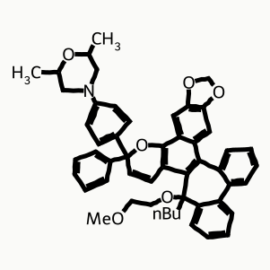 CCCCC1(OCCOC)c2ccccc2-c2ccccc2-c2c1c1c(c3cc4c(cc23)OCO4)OC(c2ccccc2)(c2ccc(N3CC(C)OC(C)C3)cc2)C=C1